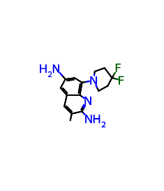 Cc1cc2cc(N)cc(N3CCC(F)(F)CC3)c2nc1N